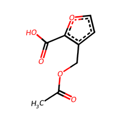 CC(=O)OCc1ccoc1C(=O)O